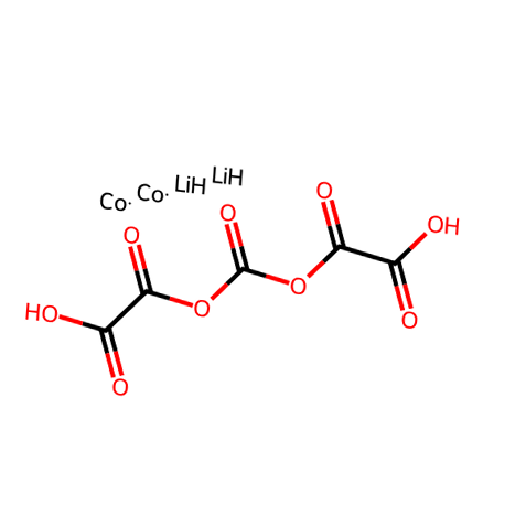 O=C(OC(=O)C(=O)O)OC(=O)C(=O)O.[Co].[Co].[LiH].[LiH]